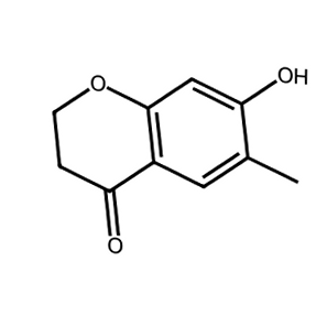 Cc1cc2c(cc1O)OCCC2=O